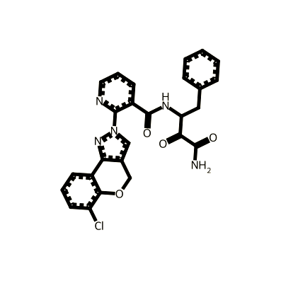 NC(=O)C(=O)C(Cc1ccccc1)NC(=O)c1cccnc1-n1cc2c(n1)-c1cccc(Cl)c1OC2